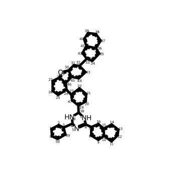 c1ccc(C2N=C(c3ccc4ccccc4c3)NC(c3cccc(-c4cccc5oc6cc(-c7ccc8ccccc8c7)ccc6c45)c3)N2)cc1